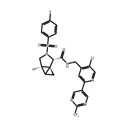 O=C(NCc1cc(-c2cnc(C(F)(F)F)nc2)ncc1Cl)[C@H]1N(S(=O)(=O)c2ccc(F)cc2)C[C@@H]2C3C[C@@]321